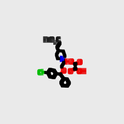 CCOC(=O)C=CC1CCN(CCOC(c2ccccc2)c2ccc(Cl)cc2)CC1.O=C(O)C(=O)O